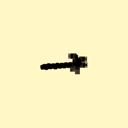 CCCCCCCCCCCCCCN[C@@H]1O[C@H](CO)[C@@H](O)[C@H](O)[C@H]1O